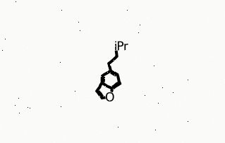 CC(C)CCc1ccc2occc2c1